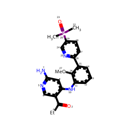 CCC(=O)c1cnc(N)cc1Nc1cccc(-c2ccc(P(C)(C)=O)cn2)c1OC